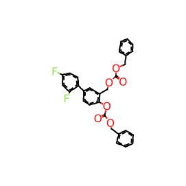 O=C(OCc1ccccc1)OCc1cc(-c2ccc(F)cc2F)ccc1OC(=O)OCc1ccccc1